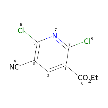 CCOC(=O)c1cc(C#N)c(Cl)nc1Cl